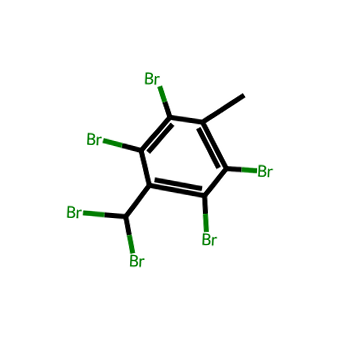 Cc1c(Br)c(Br)c(C(Br)Br)c(Br)c1Br